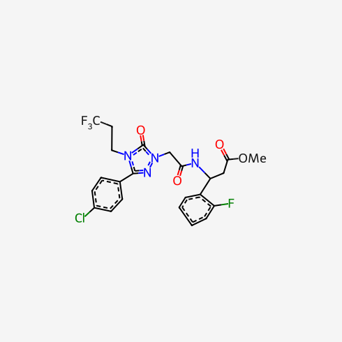 COC(=O)CC(NC(=O)Cn1nc(-c2ccc(Cl)cc2)n(CCC(F)(F)F)c1=O)c1ccccc1F